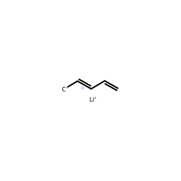 C=C/C=C/[CH2-].[Li+]